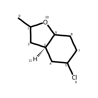 CC1C[C@@H]2CC(Cl)CCC2O1